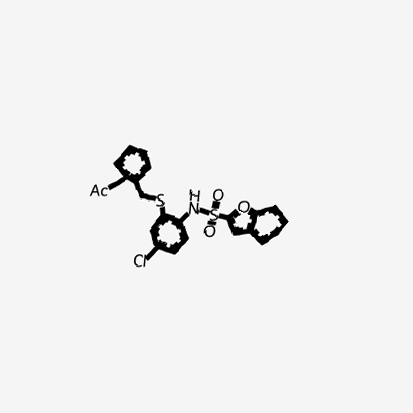 CC(=O)c1ccccc1CSc1cc(Cl)ccc1NS(=O)(=O)c1cc2ccccc2o1